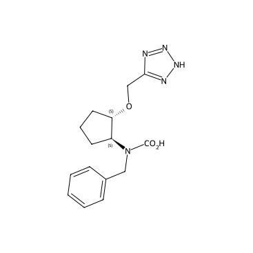 O=C(O)N(Cc1ccccc1)[C@H]1CCC[C@@H]1OCc1nn[nH]n1